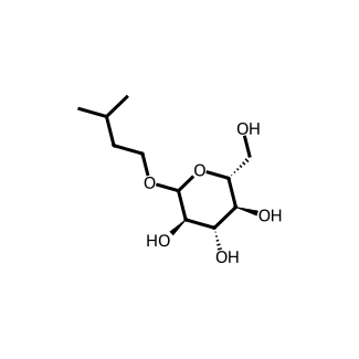 CC(C)CCOC1O[C@H](CO)[C@@H](O)[C@H](O)[C@H]1O